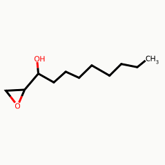 CCCCCCCCC(O)C1CO1